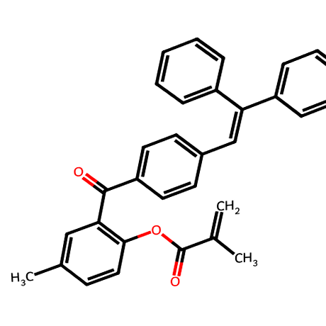 C=C(C)C(=O)Oc1ccc(C)cc1C(=O)c1ccc(C=C(c2ccccc2)c2ccccc2)cc1